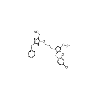 CC(C)Oc1cc(CCCOc2nc(Cc3ccccc3)sc2CO)n(Cc2ccc(Cl)cc2Cl)n1